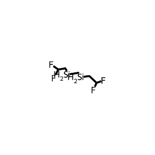 FC(F)C[SiH2]C[SiH2]CC(F)F